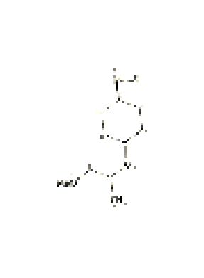 CCOC(=O)[C@H]1CC[C@H](OC(C)COC)CC1